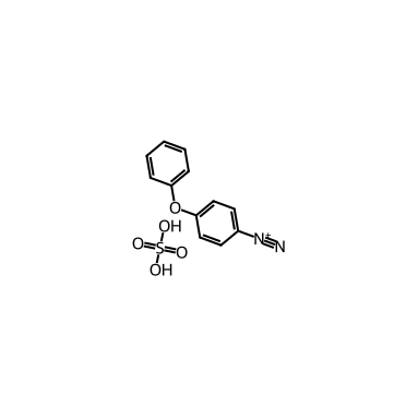 N#[N+]c1ccc(Oc2ccccc2)cc1.O=S(=O)(O)O